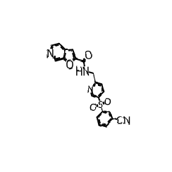 N#Cc1cccc(S(=O)(=O)c2ccc(CNC(=O)c3cc4ccncc4o3)nc2)c1